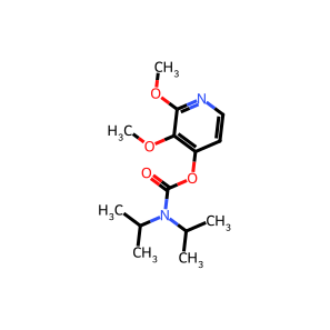 COc1nccc(OC(=O)N(C(C)C)C(C)C)c1OC